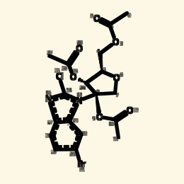 CC(=O)OC[C@H]1OC[C@](OC(C)=O)(n2c(Cl)nc3ccc(Br)cc32)[C@@H]1OC(C)=O